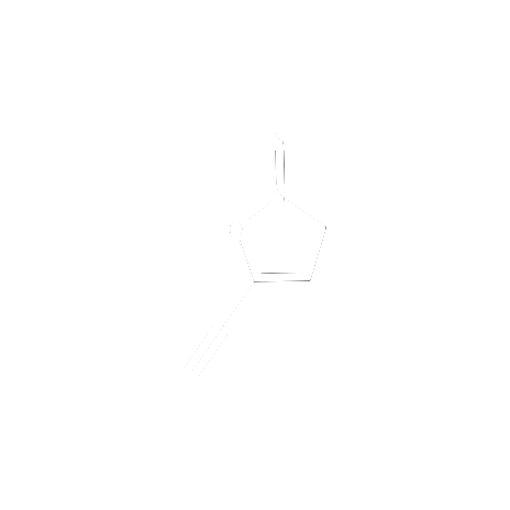 C#CC1=CCS(=S)O1